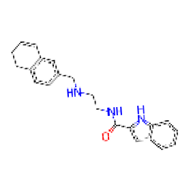 O=C(NCCNCc1ccc2c(c1)C=CCC2)c1cc2ccccc2[nH]1